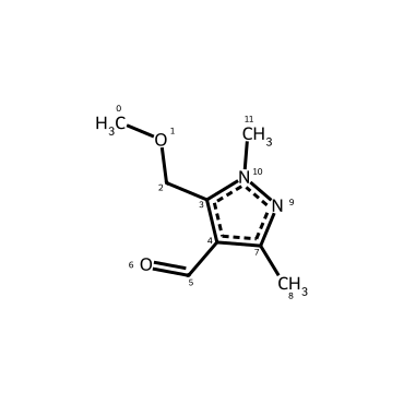 COCc1c(C=O)c(C)nn1C